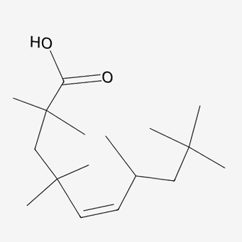 CC(/C=C\C(C)(C)CC(C)(C)C(=O)O)CC(C)(C)C